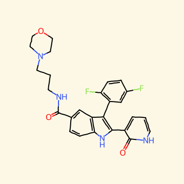 O=C(NCCCN1CCOCC1)c1ccc2[nH]c(-c3ccc[nH]c3=O)c(-c3cc(F)ccc3F)c2c1